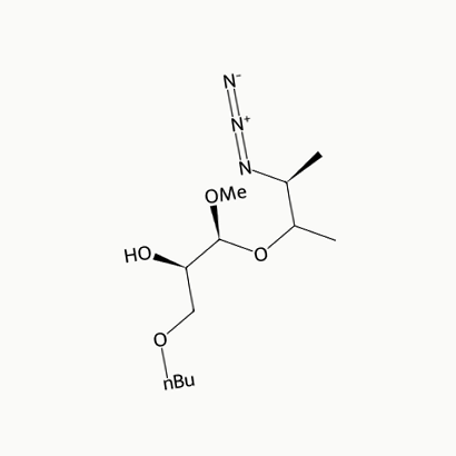 CCCCOC[C@@H](O)[C@@H](OC)OC(C)[C@H](C)N=[N+]=[N-]